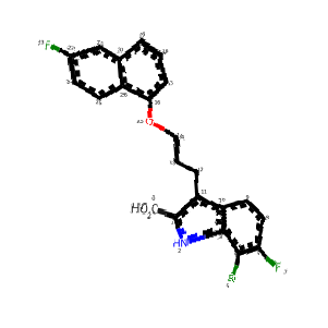 O=C(O)c1[nH]c2c(Br)c(F)ccc2c1CCCOc1cccc2cc(F)ccc12